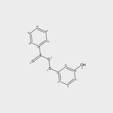 O=C(OOc1cccc(O)c1)c1ccccc1